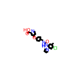 Cc1cc(NC(=O)NCc2ccc(Oc3ccnc(C(=O)O)c3)cc2)c(-n2cccc2)cc1Cl